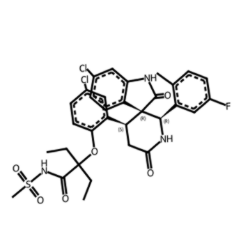 CCC(CC)(Oc1ccc(Cl)cc1[C@@H]1CC(=O)N[C@H](c2cc(F)ccc2C)[C@@]12C(=O)Nc1cc(Cl)ccc12)C(=O)NS(C)(=O)=O